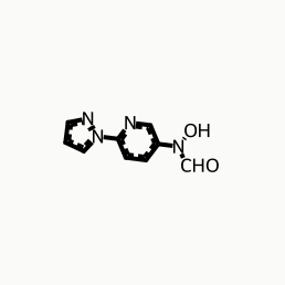 O=CN(O)c1ccc(-n2cccn2)nc1